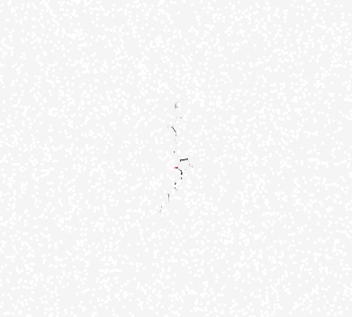 O=C(O)CCCC=CC=C1CC=C(CCCC=CCCCCl)C1=O